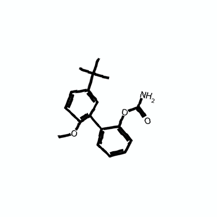 COc1ccc(C(C)(C)C)cc1-c1ccccc1OC(N)=O